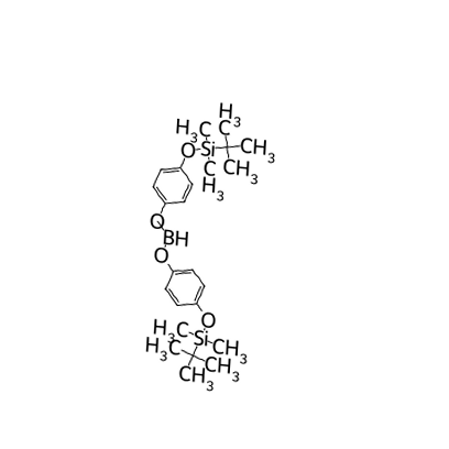 CC(C)(C)[Si](C)(C)Oc1ccc(OBOc2ccc(O[Si](C)(C)C(C)(C)C)cc2)cc1